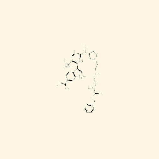 COC(=O)c1ccc2c(-c3nc(N[C@@H]4CCN(CCOCCNC(=O)OCc5ccccc5)C4)ncc3C(F)(F)F)c[nH]c2c1